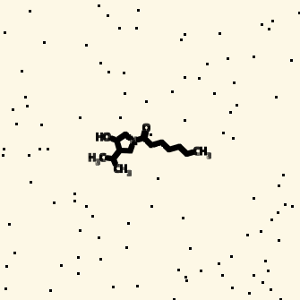 CCCCCCC(=O)N1CC(O)C(C(C)C)C1